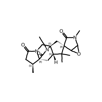 C[C@H]1CC(=O)N2C[C@]34C[C@@]5(C(=O)N(C)C6OC65)C(C)(C)[C@@H]3C[C@]12C(=O)N4C